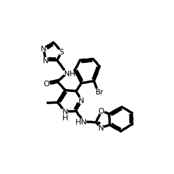 CC1=C(C(=O)Nc2nncs2)C(c2ccccc2Br)N=C(Nc2nc3ccccc3o2)N1